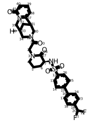 O=C(CN1CCC[C@H](NS(=O)(=O)c2ccc(-c3ccc(C(F)F)cc3)cc2)C1=O)N1CC2C[C@@H](C1)Cn1c2cccc1=O